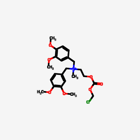 COc1ccc(C[N+](C)(CCOC(=O)OCCl)Cc2ccc(OC)c(OC)c2)cc1OC